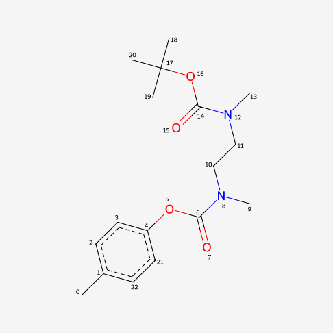 Cc1ccc(OC(=O)N(C)CCN(C)C(=O)OC(C)(C)C)cc1